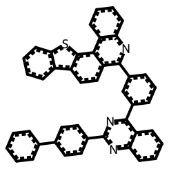 c1ccc(-c2ccc(-c3nc(-c4cccc(-c5nc6ccccc6c6c5ccc5c7ccccc7sc56)c4)c4ccccc4n3)cc2)cc1